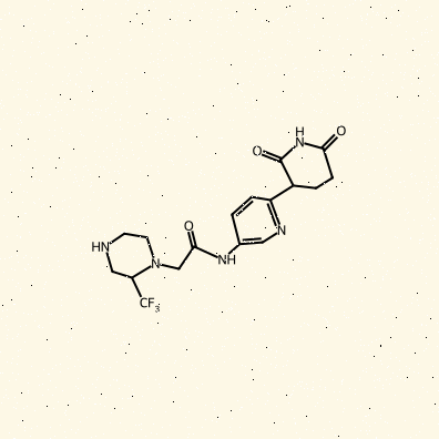 O=C1CCC(c2ccc(NC(=O)CN3CCNCC3C(F)(F)F)cn2)C(=O)N1